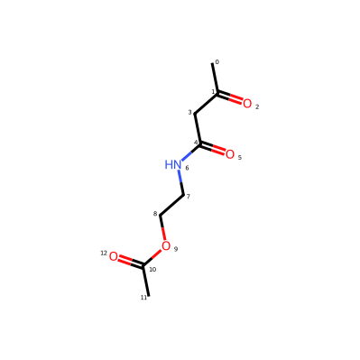 CC(=O)CC(=O)NCCOC(C)=O